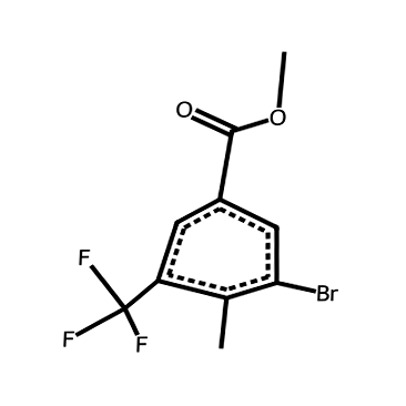 COC(=O)c1cc(Br)c(C)c(C(F)(F)F)c1